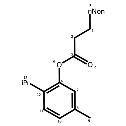 CCCCCCCCCCCC(=O)Oc1cc(C)ccc1C(C)C